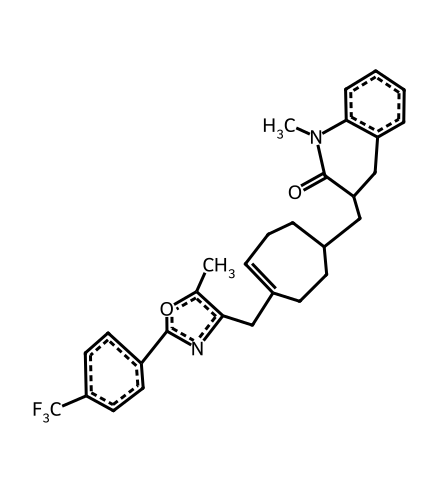 Cc1oc(-c2ccc(C(F)(F)F)cc2)nc1CC1=CCCC(CC2Cc3ccccc3N(C)C2=O)CC1